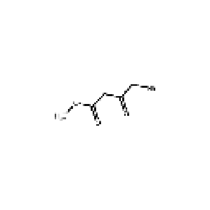 COC(=O)CC(=O)[CH2][Na]